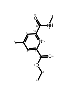 CCOC(=O)c1cc(C)cc(C(=O)NC)n1